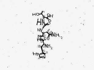 CC(O)[C@H](NC(=O)N[C@@H](CC(N)=O)c1nnc([C@@H](N)Cc2cnc[nH]2)o1)C(=O)O